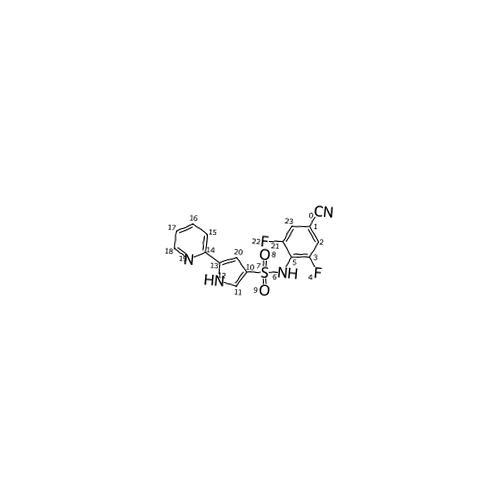 N#Cc1cc(F)c(NS(=O)(=O)c2c[nH]c(-c3ccccn3)c2)c(F)c1